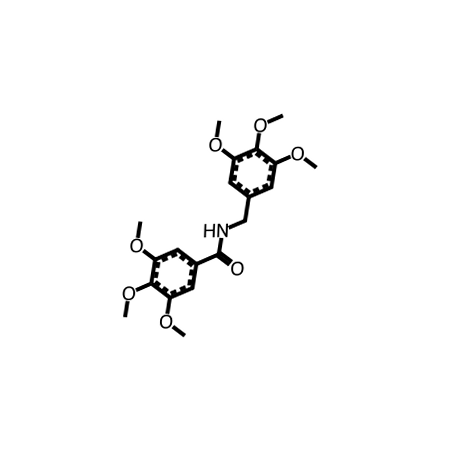 COc1cc(CNC(=O)c2cc(OC)c(OC)c(OC)c2)cc(OC)c1OC